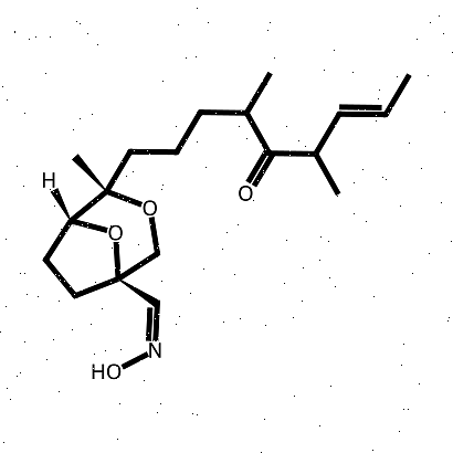 C/C=C/C(C)C(=O)C(C)CCC[C@]1(C)OC[C@]2(/C=N\O)CC[C@H]1O2